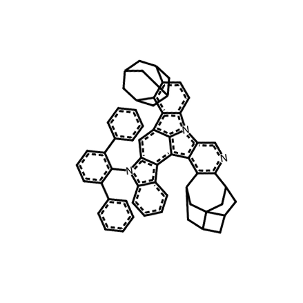 c1ccc(-c2cccc(-c3ccccc3)c2-n2c3ccccc3c3c4c5c6c(ncc5n5c7ccc8c(c7c(cc32)c45)C2CC3CC(CC8C3)C2)C2CC3CC4CC6CC34C2)cc1